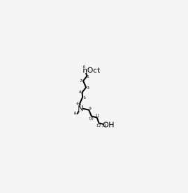 CCCCCCCCCCCCCCN(C)CCCCO